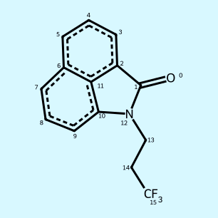 O=C1c2cccc3cccc(c23)N1CCC(F)(F)F